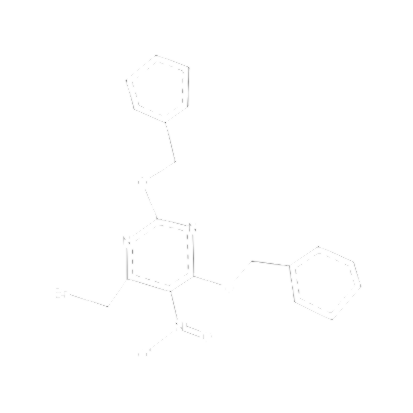 O=[N+]([O-])c1c(CBr)nc(OCc2ccccc2)nc1OCc1ccccc1